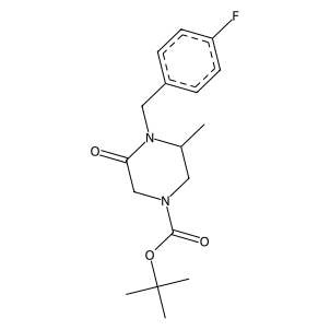 CC1CN(C(=O)OC(C)(C)C)CC(=O)N1Cc1ccc(F)cc1